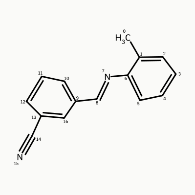 Cc1ccccc1/N=C/c1cccc(C#N)c1